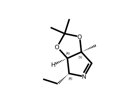 CC[C@H]1N=C[C@]2(C)OC(C)(C)O[C@H]12